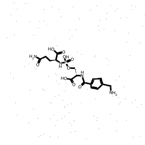 NCc1ccc(C(=O)N[C@@H](COP(=O)(O)N[C@@H](CCC(N)=O)C(=O)O)C(=O)O)cc1